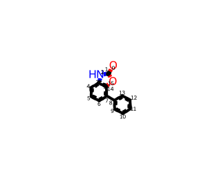 O=c1[nH]c2cccc(-c3ccccc3)c2o1